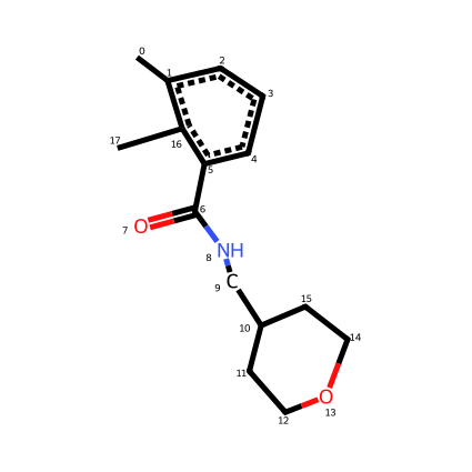 Cc1cccc(C(=O)NCC2CCOCC2)c1C